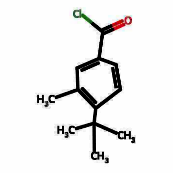 Cc1cc(C(=O)Cl)ccc1C(C)(C)C